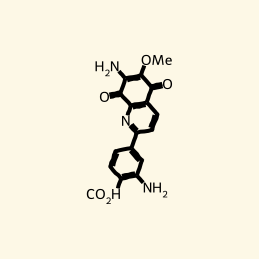 COC1=C(N)C(=O)c2nc(-c3ccc(C(=O)O)c(N)c3)ccc2C1=O